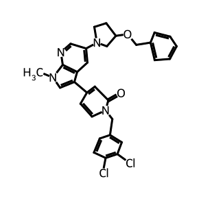 Cn1cc(-c2ccn(Cc3ccc(Cl)c(Cl)c3)c(=O)c2)c2cc(N3CCC(OCc4ccccc4)C3)cnc21